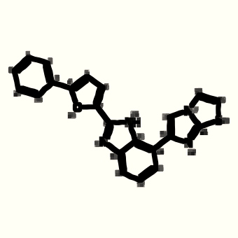 c1ccc(-c2ccc(-c3nc4cccc(-c5cn6ccsc6n5)c4[nH]3)o2)cc1